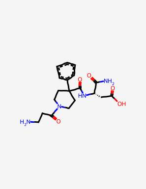 NCCC(=O)N1CCC(C(=O)N[C@@H](CC(=O)O)C(N)=O)(c2ccccc2)CC1